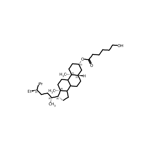 CC[C@H](CC[C@@H](C)[C@H]1CCC2C3CC[C@H]4C[C@@H](OC(=O)CCCCCO)CC[C@]4(C)C3CC[C@@]21C)C(C)C